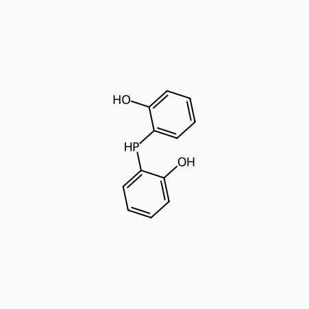 Oc1ccccc1Pc1ccccc1O